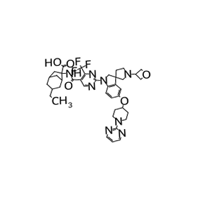 CCC1CC2CC(C1)C(NC(=O)c1cnc(N3CC4(CCN(C5COC5)C4)c4cc(OC5CCN(c6ncccn6)CC5)ccc43)nc1C(F)(F)F)(C(=O)O)C2